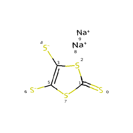 S=c1sc([S-])c([S-])s1.[Na+].[Na+]